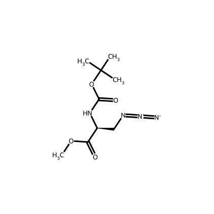 COC(=O)[C@H](CN=[N+]=[N-])NC(=O)OC(C)(C)C